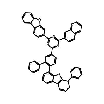 C1=Cc2c(sc3c(-c4ccc(-c5nc(-c6ccc7ccccc7c6)nc(-c6ccc7c(c6)oc6ccccc67)n5)cc4-c4ccccc4)cccc23)C(c2ccccc2)C1